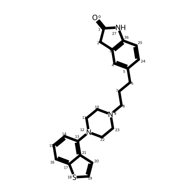 O=C1Cc2cc(CCCN3CCN(c4cccc5sccc45)CC3)ccc2N1